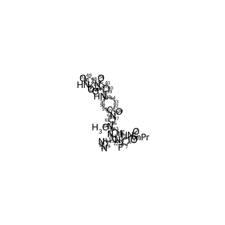 CCCS(=O)(=O)Nc1ccc(F)c(-n2cc(-c3cncnc3)c3nc(N(C)C4CCN(C(=O)C5CCCCC(Nc6cccc7c6C(=O)N(C6CCC(=O)NC6=O)C7=O)CCCC5)CC4)ccc32)c1F